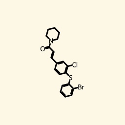 O=C(/C=C/c1ccc(Sc2ccccc2Br)c(Cl)c1)N1CCCCC1